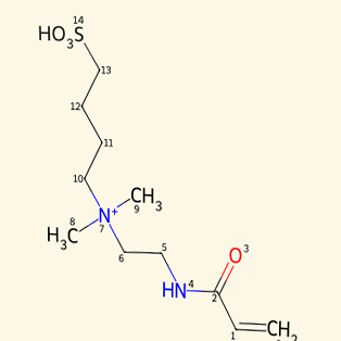 C=CC(=O)NCC[N+](C)(C)CCCCS(=O)(=O)O